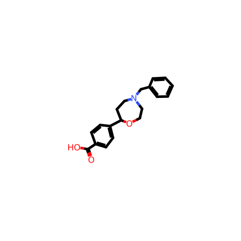 O=C(O)c1ccc(C2CCN(Cc3ccccc3)CCO2)cc1